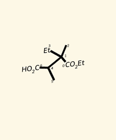 CCOC(=O)C(C)(CC)C(C)C(=O)O